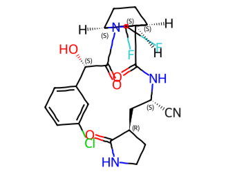 N#C[C@H](C[C@H]1CCNC1=O)NC(=O)[C@@H]1[C@@H]2CC[C@@H](CC2(F)F)N1C(=O)[C@@H](O)c1cccc(Cl)c1